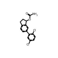 NC(=O)OC1CCc2ccc(-c3cc(Cl)ccc3Cl)cc21